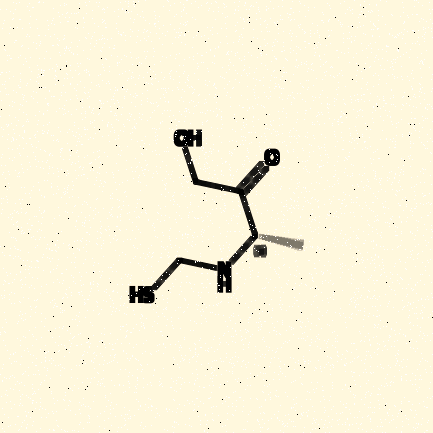 C[C@H](NCS)C(=O)CO